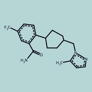 Cc1ccnn1CC1CCC(c2ccc(C(F)(F)F)cc2C(N)=O)CC1